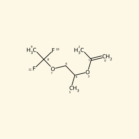 C=C(C)OC(C)COC(C)(F)F